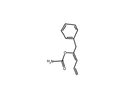 C=CC=C(Cc1ccccc1)OC(N)=O